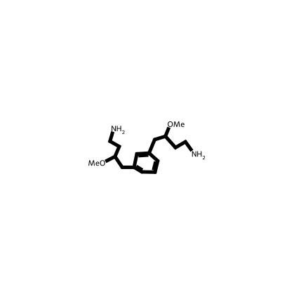 COC(CCN)Cc1cccc(CC(CCN)OC)c1